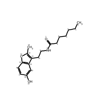 CCCCCCC(=O)NCCc1c(C)oc2ccc(O)cc12